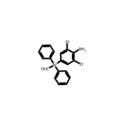 CCc1cc([N+](C=O)(c2ccccc2)c2ccccc2)cc(CC)c1N